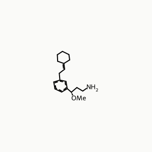 CO[C@H](CCN)c1cccc(CC=C2CCCCC2)c1